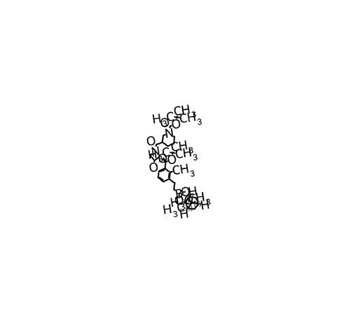 Cc1c(CCB2O[C@@H]3C[C@@H]4C[C@@H](C4(C)C)[C@]3(C)O2)ccc(OC2CN(C(=O)C3CCCN(C(=O)OC(C)(C)C)C3)C2)c1C(=O)OC(C)(C)C